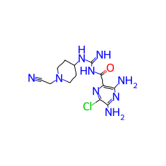 N#CCN1CCC(NC(=N)NC(=O)c2nc(Cl)c(N)nc2N)CC1